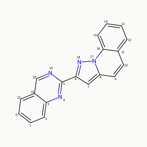 c1ccc2nc(-c3cc4ccc5ccccc5n4n3)ncc2c1